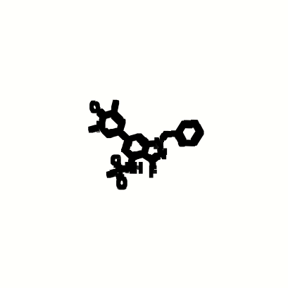 Cc1cc(-c2cc(NS(C)(=O)=O)c3c(F)nn(Cc4ccccc4)c3c2)cn(C)c1=O